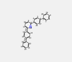 c1ccc(-c2ccc(-c3cccc(-c4ccc(-c5ccccc5)cc4)n3)cc2)cc1